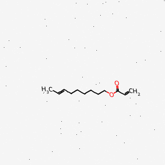 C=CC(=O)OCCCCCCC=CC